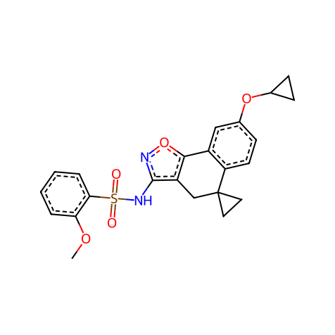 COc1ccccc1S(=O)(=O)Nc1noc2c1CC1(CC1)c1ccc(OC3CC3)cc1-2